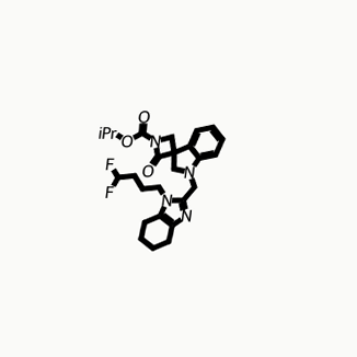 CC(C)OC(=O)N1CC2(CN(Cc3nc4c(n3CCCC(F)F)CCCC4)c3ccccc32)C1=O